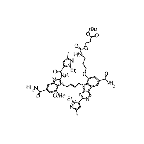 CCn1nc(C)cc1C(=O)Nc1nc2cc(C(N)=O)cc(OC)c2n1CC=CCn1c2nc(-c3cc(C)nn3CC)ncc2c2cc(C(N)=O)cc(OCCCNC(=O)OCCC(=O)OC(C)(C)C)c21